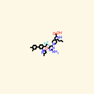 CCCC1NC(C(=O)O)CC12CCN(c1cc(O[C@H](c3ccc(-c4ccc(C)c(C)c4)cc3-n3ccc(C)n3)C(F)(F)F)nc(N)n1)CC2